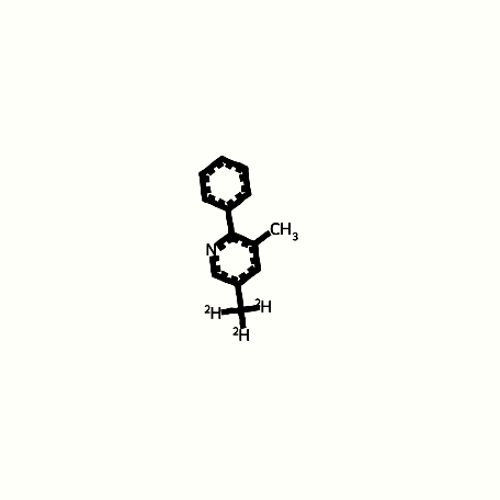 [2H]C([2H])([2H])c1cnc(-c2ccccc2)c(C)c1